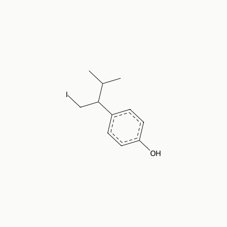 CC(C)C(CI)c1ccc(O)cc1